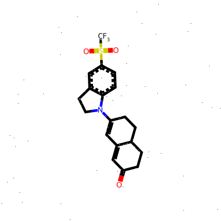 O=C1C=C2C=C(N3CCc4cc(S(=O)(=O)C(F)(F)F)ccc43)CCC2CC1